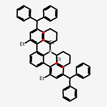 CCc1cc(C(c2ccccc2)c2ccccc2)cc(CC)c1-c1cccc(-c2c(CC)cc(C(c3ccccc3)c3ccccc3)cc2CC)c1P(C1CCCCC1)C1CCCCC1